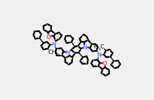 Cc1ccc(-c2ccccc2)cc1N(c1ccc2c3cccc4c5c(-c6ccccc6)c6c(c(-c7ccccc7)c5n(c2c1)c34)c1cccc2c3ccc(N(c4cc(-c5ccccc5)ccc4C)c4cccc5c4oc4ccccc45)cc3n6c21)c1cccc2c1oc1ccccc12